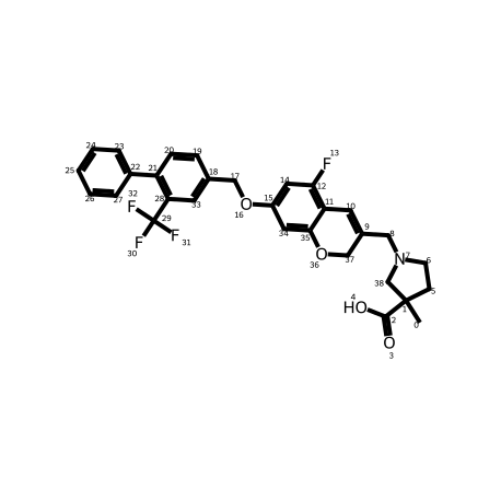 CC1(C(=O)O)CCN(CC2=Cc3c(F)cc(OCc4ccc(-c5ccccc5)c(C(F)(F)F)c4)cc3OC2)C1